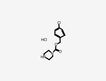 Cl.O=C(OCc1ccc(Cl)cc1)N1CCNCC1